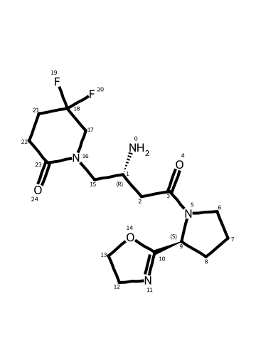 N[C@H](CC(=O)N1CCC[C@H]1C1=NCCO1)CN1CC(F)(F)CCC1=O